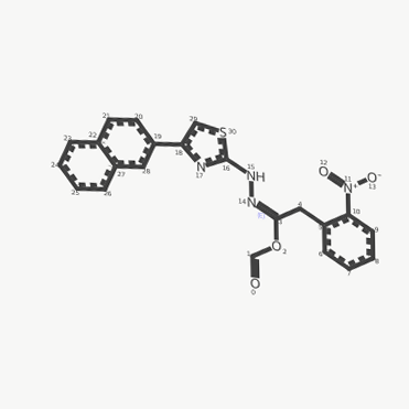 O=CO/C(Cc1ccccc1[N+](=O)[O-])=N/Nc1nc(-c2ccc3ccccc3c2)cs1